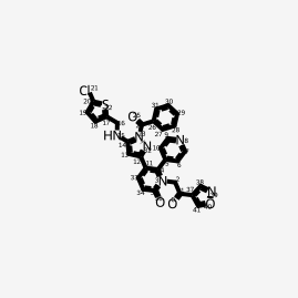 O=C(Cn1c(-c2ccncc2)c(-c2cc(NCc3ccc(Cl)s3)n(C(=O)c3ccccc3)n2)ccc1=O)c1cnoc1